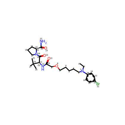 CCN(CCCCCOCC(=O)N[C@H](C(=O)N1CCC[C@H]1C(N)=O)C(C)(C)C)c1ccc(Br)cc1